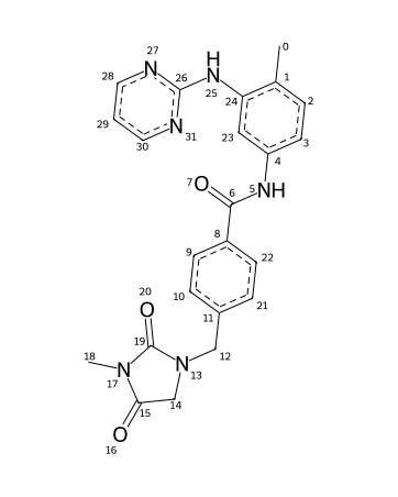 Cc1ccc(NC(=O)c2ccc(CN3CC(=O)N(C)C3=O)cc2)cc1Nc1ncccn1